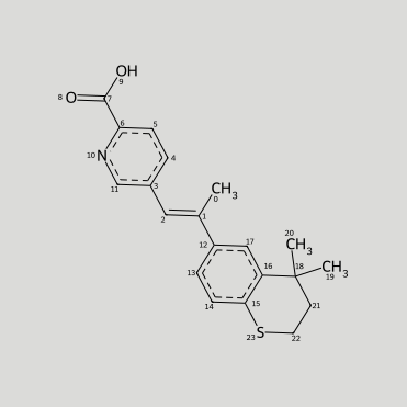 CC(=Cc1ccc(C(=O)O)nc1)c1ccc2c(c1)C(C)(C)CCS2